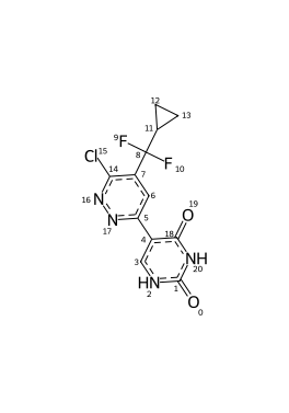 O=c1[nH]cc(-c2cc(C(F)(F)C3CC3)c(Cl)nn2)c(=O)[nH]1